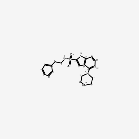 O=S(=O)(NCCc1ccccc1)c1cc2c(N3CCNCC3)nccc2s1